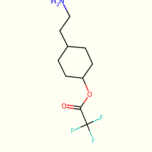 NCCC1CCC(OC(=O)C(F)(F)F)CC1